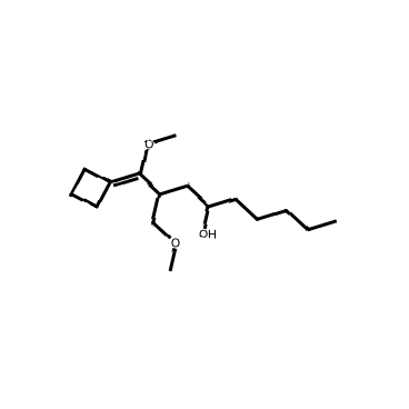 CCCCCC(O)CC(COC)C(OC)=C1CCC1